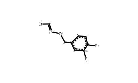 CCC=NOCc1ccc(F)c(F)c1